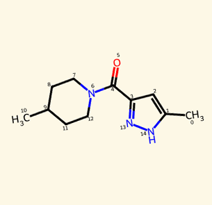 Cc1cc(C(=O)N2CCC(C)CC2)n[nH]1